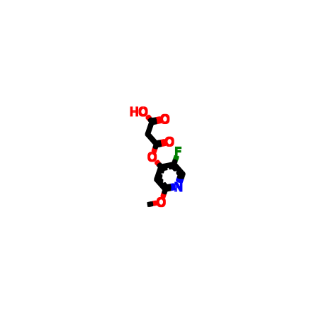 COc1cc(OC(=O)CC(=O)O)c(F)cn1